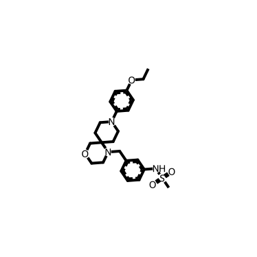 CCOc1ccc(N2CCC3(CC2)COCCN3Cc2cccc(NS(C)(=O)=O)c2)cc1